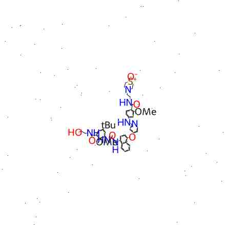 COc1cc(Nc2cc(Oc3ccc(NC(=O)Nc4cc(C(C)(C)C)cc(C(=O)NCCO)c4OC)c4ccccc34)ccn2)ccc1C(=O)NCCN1CC[S+]([O-])CC1